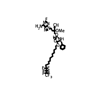 C#C[C@](CCn1cnc2c(N)nc(F)nc21)(CO[PH](=O)N[C@@H](Cc1ccccc1)C(=O)OCCCCCCCCCCCC(F)(F)C(F)(F)C(F)(F)C(F)(F)F)OC